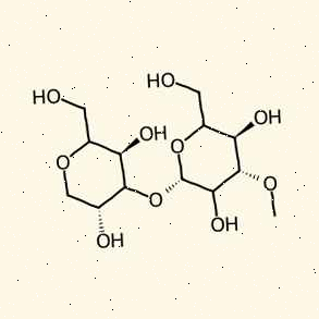 CO[C@@H]1C(O)[C@H](OC2[C@H](O)C(CO)OC[C@H]2O)OC(CO)[C@H]1O